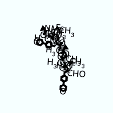 CNC1(C(=O)O[C@H](C)C(=O)N(C)[C@@H](CC(C)(C)F)C(=O)O[C@H](Cc2ccc(C3CCOCC3)cc2)C(=O)N(C)C2(C(=O)O[C@H](C)C(=O)N(C)[C@@H](CC(C)(C)F)C(=O)O[C@@H](C=O)Cc3ccc(C4CCOCC4)cc3)CC2)CC1